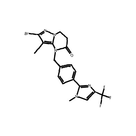 Cc1c(Br)nn2c1N(Cc1ccc(-c3nc(C(F)(F)F)cn3C)cc1)C(=O)CC2